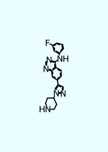 Fc1cccc(Nc2ncnc3cc(-c4cnn(C5CCNCC5)c4)ccc23)c1